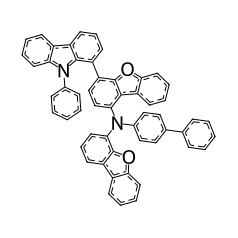 c1ccc(-c2ccc(N(c3cccc4c3oc3ccccc34)c3ccc(-c4cccc5c6ccccc6n(-c6ccccc6)c45)c4oc5ccccc5c34)cc2)cc1